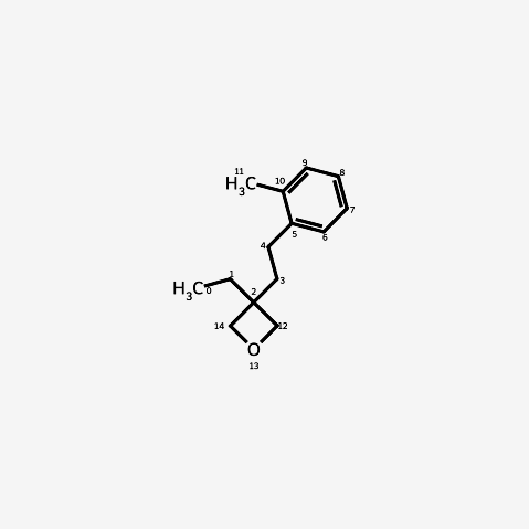 CCC1(CCc2ccccc2C)COC1